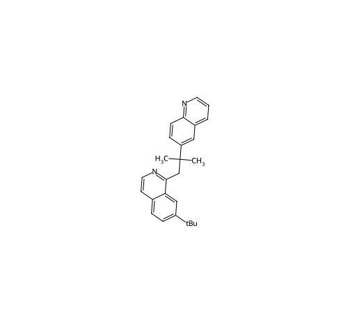 CC(C)(C)c1ccc2ccnc(CC(C)(C)c3ccc4ncccc4c3)c2c1